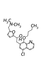 CCCCOc1c(CC(O)c2ccc(CN(C)C)o2)cc(Cl)c2cccnc12